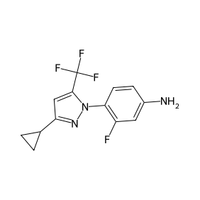 Nc1ccc(-n2nc(C3CC3)cc2C(F)(F)F)c(F)c1